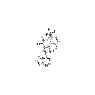 CNC(=O)c1cc(-c2ncnn3cccc23)[nH]c1-c1cc(C(F)(F)F)ccc1C